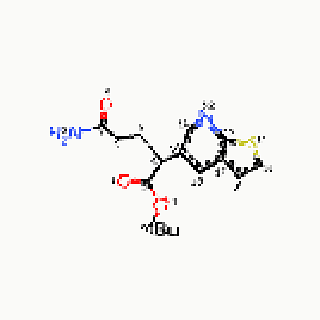 CC(C)(C)OC(=O)C(CCC(N)=O)c1cnc2sccc2c1